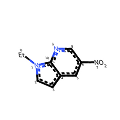 CCn1ccc2cc([N+](=O)[O-])cnc21